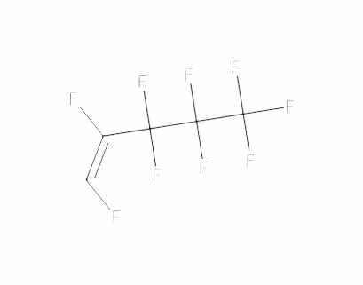 F/C=C(/F)C(F)(F)C(F)(F)C(F)(F)F